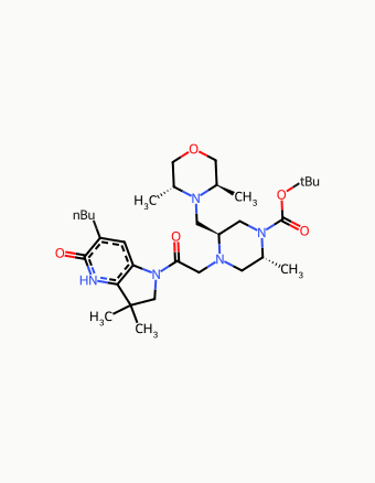 CCCCc1cc2c([nH]c1=O)C(C)(C)CN2C(=O)CN1C[C@@H](C)N(C(=O)OC(C)(C)C)C[C@@H]1CN1[C@H](C)COC[C@H]1C